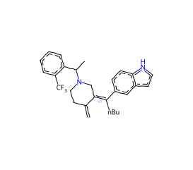 C=C1CCN(C(C)c2ccccc2C(F)(F)F)C/C1=C(/CCCC)c1ccc2[nH]ccc2c1